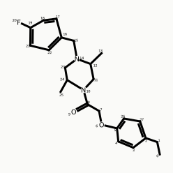 CCc1ccc(OCC(=O)N2CC(C)N(Cc3ccc(F)cc3)CC2C)cc1